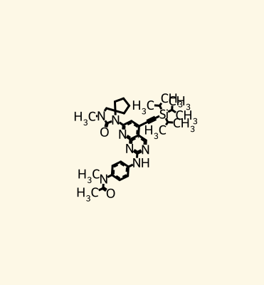 CC(=O)N(C)c1ccc(Nc2ncc3c(C#C[Si](C(C)C)(C(C)C)C(C)C)cc(N4C(=O)N(C)CC45CCCC5)nc3n2)cc1